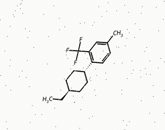 CC[C@H]1CC[C@H](c2ccc(C)cc2C(F)(F)F)CC1